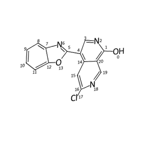 Oc1ncc(-c2nc3ccccc3o2)c2cc(Cl)ncc12